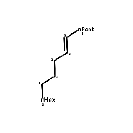 [CH2]CCCCCCCCC=CCCCCC